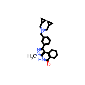 Cn1nc(-c2cccc(CN(CC3CC3)CC3CC3)c2)c2c3c(c(=O)[nH]c21)CCCC3